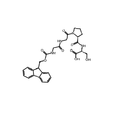 O=C(CNC(=O)OCC1c2ccccc2-c2ccccc21)NCC(=O)N1CCC[C@H]1C(=O)N[C@@H](CO)C(=O)O